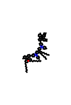 CCCCCCCCc1ccc(C2(c3ccc(CCCCCCCC)cc3)c3cc(C)ccc3-c3ccc(-c4ccc(N(c5ccc(C)cc5)c5ccc6c(c5)C(CCCCCCCC)(CCCCCCCC)c5cc(N(c7ccc(C)cc7)c7ccc(-c8ccc9c(c8)C(c8ccc%10c(c8)CC%10)(c8ccc%10c(c8)CC%10)c8cc(C)ccc8-9)cc7)ccc5-6)cc4)cc32)cc1